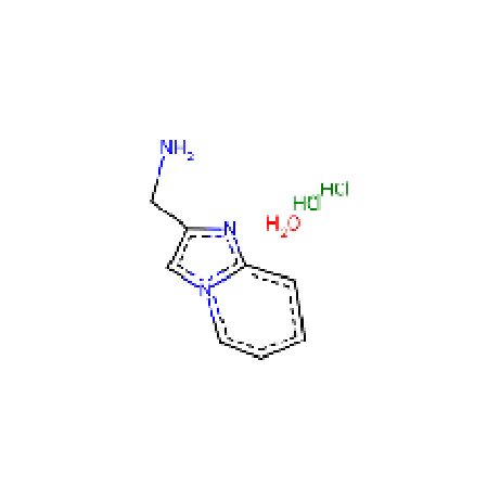 Cl.Cl.NCc1cn2ccccc2n1.O